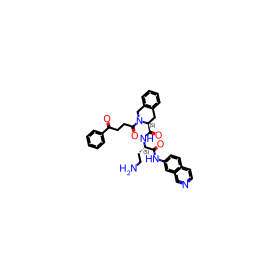 NCC[C@H](NC(=O)[C@@H]1Cc2ccccc2CN1C(=O)CCC(=O)c1ccccc1)C(=O)Nc1ccc2ccncc2c1